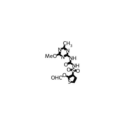 COc1nc(C)nc(NC(=O)NS(=O)(=O)c2ccsc2OC=O)n1